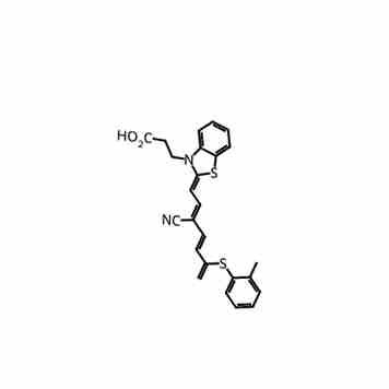 C=C(/C=C/C(C#N)=C/C=C1\Sc2ccccc2N1CCC(=O)O)Sc1ccccc1C